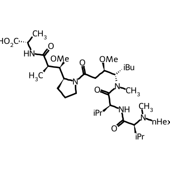 CCCCCCN(C)[C@H](C(=O)N[C@H](C(=O)N(C)[C@@H]([C@@H](C)CC)[C@@H](CC(=O)N1CCC[C@H]1[C@H](OC)[C@@H](C)C(=O)N[C@@H](C)C(=O)O)OC)C(C)C)C(C)C